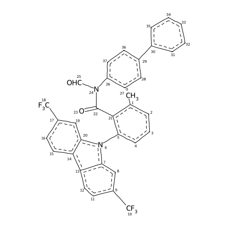 Cc1cccc(-n2c3cc(C(F)(F)F)ccc3c3ccc(C(F)(F)F)cc32)c1C(=O)N(C=O)c1ccc(-c2ccccc2)cc1